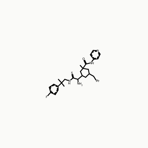 CC(C)CC1CC(C(N)C(=S)NCC(C)(C)c2ccc(F)cc2)CC(C)(C(=O)Nc2ccncc2)C1